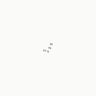 [Cu].[Fe].[Ti].[Zn]